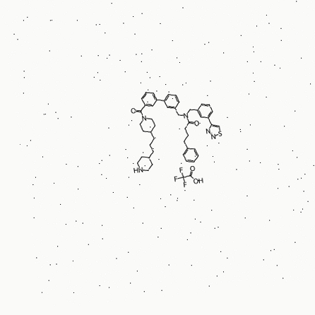 O=C(CCCc1ccccc1)N(Cc1cccc(-c2cccc(C(=O)N3CCC(CCCC4CCNCC4)CC3)c2)c1)Cc1cccc(-c2csnn2)c1.O=C(O)C(F)(F)F